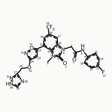 Cn1c(=O)n(CC(=O)Nc2ccc(F)cc2)c2cc(C(F)(F)F)cc(-c3cc(OCc4nc[nH]n4)no3)c21